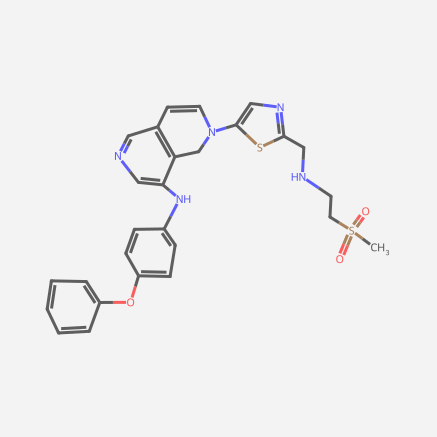 CS(=O)(=O)CCNCc1ncc(N2C=Cc3cncc(Nc4ccc(Oc5ccccc5)cc4)c3C2)s1